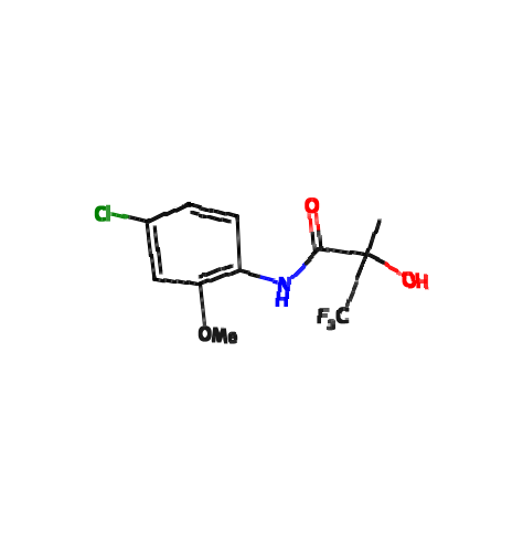 COc1cc(Cl)ccc1NC(=O)C(C)(O)C(F)(F)F